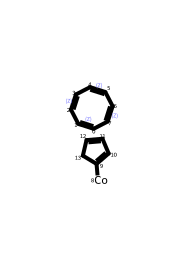 C1=C\C=C/C=C\C=C/1.[Co][C]1=CC=CC1